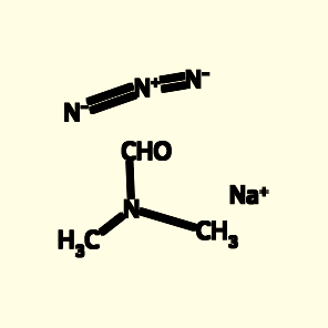 CN(C)C=O.[N-]=[N+]=[N-].[Na+]